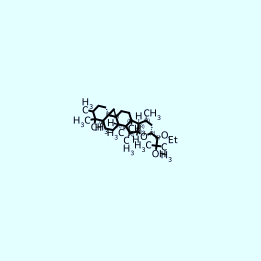 CCO[C@@H]([C@H]1C[C@@H](C)[C@H]2[C@H](O1)[C@H](C)[C@@]1(C)[C@@H]3CC[C@H]4C(C)(C)C(C)CC[C@@]45C[C@@]35CC[C@]21C)C(C)(C)O